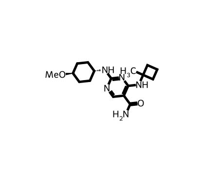 CO[C@H]1CC[C@H](Nc2ncc(C(N)=O)c(NC3(C)CCC3)n2)CC1